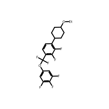 CCOC1CCC(c2ccc(C(F)(F)Oc3cc(F)c(F)c(F)c3)c(F)c2F)CC1